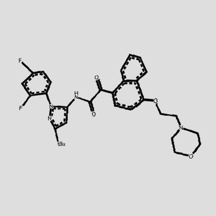 CC(C)(C)c1cc(NC(=O)C(=O)c2ccc(OCCN3CCOCC3)c3ccccc23)n(-c2ccc(F)cc2F)n1